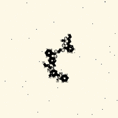 CCCCC(OC(C)=O)c1ccccc1C(=O)OCCOC(=O)c1ccccc1-c1ccc(Cn2c(CCC)nc3c(C)cc(-c4nc5c(n4C)=CCCC=5)cc32)cc1